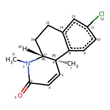 CN1C(=O)C=C[C@]2(C)c3ccc(Cl)cc3CC[C@@H]12